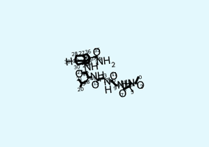 CC(=O)N[C@@H](C)C(=O)NCC(=O)NCC(=O)N[C@@H](CC(C)C)C(=O)N[C@@]12CC3C[C@H](C1)C[C@](C(N)=O)(C3)C2